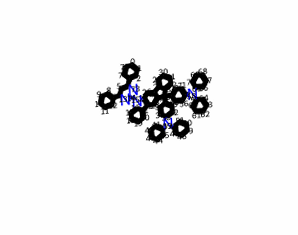 c1ccc(-c2cc(-c3ccccc3)nc(-n3c4ccccc4c4cc5c(cc43)-c3ccccc3C5(c3ccc(N(c4ccccc4)c4ccccc4)cc3)c3ccc(N(c4ccccc4)c4ccccc4)cc3)n2)cc1